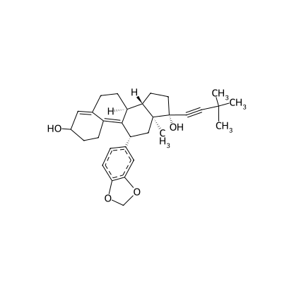 CC(C)(C)C#C[C@]1(O)CC[C@H]2[C@@H]3CCC4=CC(O)CCC4=C3[C@@H](c3ccc4c(c3)OCO4)C[C@@]21C